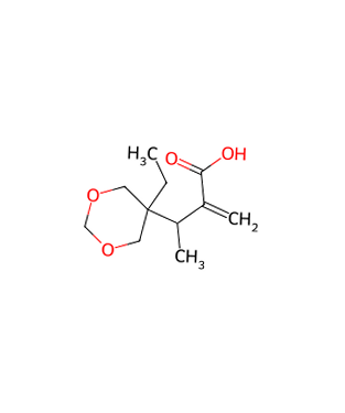 C=C(C(=O)O)C(C)C1(CC)COCOC1